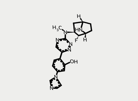 CN(c1ncc(-c2ccc(-n3ccnc3)cc2O)nn1)[C@H]1C[C@@H]2CC[C@@H](N2)[C@@H]1F